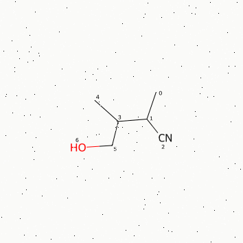 CC(C#N)C(C)CO